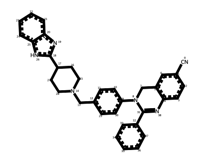 N#Cc1ccc2c(c1)CN(c1ccc(CN3CCC(c4nc5ccccc5[nH]4)CC3)cc1)C(c1ccccc1)=N2